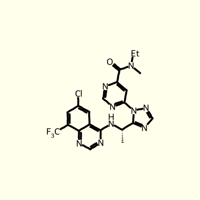 CCN(C)C(=O)c1cc(-n2ncnc2[C@H](C)Nc2ncnc3c(C(F)(F)F)cc(Cl)cc23)ncn1